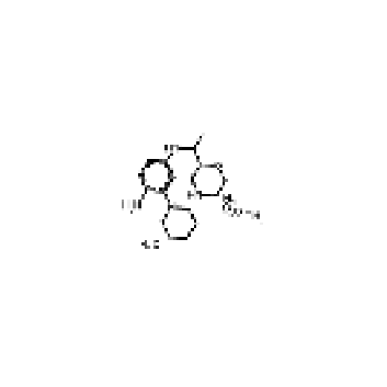 CC(Nc1ccc(N)c(N2CCCCC2)c1)C1CNCCO1.O.O.O.O